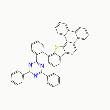 c1ccc(-c2nc(-c3ccccc3)nc(-c3ccccc3-c3cccc4c3sc3c4ccc4c5ccccc5c5ccccc5c43)n2)cc1